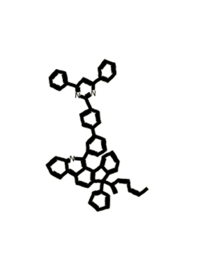 C=C(/C=C\C=C/C)C1(c2ccccc2)c2ccccc2-c2c1ccc1c2c(-c2cccc(-c3ccc(-c4nc(-c5ccccc5)cc(-c5ccccc5)n4)cc3)c2)nc2ccccc21